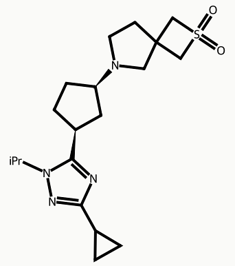 CC(C)n1nc(C2CC2)nc1[C@H]1CC[C@@H](N2CCC3(C2)CS(=O)(=O)C3)C1